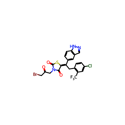 O=C(CBr)CN1C(=O)S/C(=C(/Cc2ccc(Cl)cc2C(F)(F)F)c2ccc3[nH]ncc3c2)C1=O